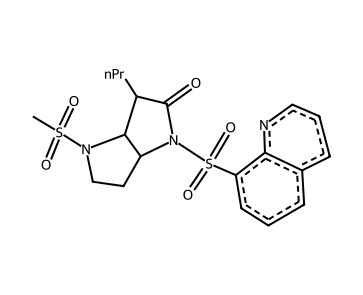 CCCC1C(=O)N(S(=O)(=O)c2cccc3cccnc23)C2CCN(S(C)(=O)=O)C12